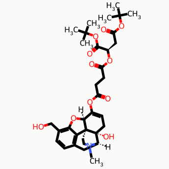 CN1CC[C@]23c4c5ccc(CO)c4O[C@H]2C(OC(=O)CCC(=O)O[C@H](CC(=O)OC(C)(C)C)C(=O)OC(C)(C)C)=CC[C@@]3(O)[C@H]1C5